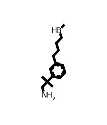 CBCCCCc1cccc(C(C)(C)CN)c1